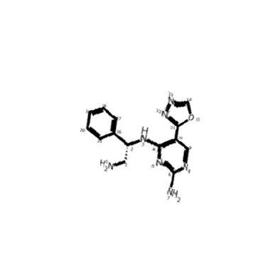 NC[C@@H](Nc1nc(N)ncc1-c1nnco1)c1ccccc1